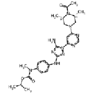 CC(=O)N1[C@H](C)CN(c2cc(-n3nc(Nc4ccc(N(C)C(=O)OC(C)C)cc4)nc3N)ncn2)C[C@@H]1C